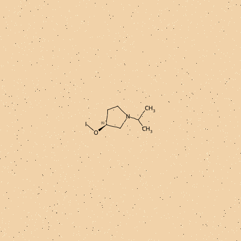 CC(C)N1CC[C@H](OI)C1